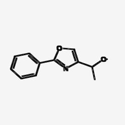 CC([O])c1coc(-c2ccccc2)n1